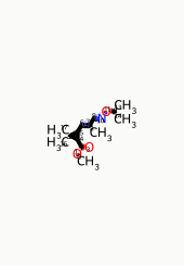 COC(=O)C1C(/C=C(C)/C=N/OC(C)C)C1(C)C